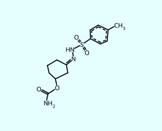 Cc1ccc(S(=O)(=O)NN=C2CCCC(OC(N)=O)C2)cc1